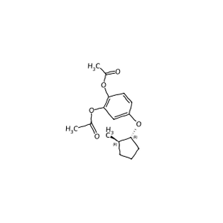 CC(=O)Oc1ccc(O[C@@H]2CCC[C@H]2C)cc1OC(C)=O